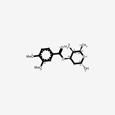 COc1ccc(C(=O)O[C@@H]2C[C@@H](O)O[C@H](C)[C@@H]2C)cc1OC